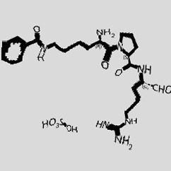 N=C(N)NCCC[C@@H](C=O)NC(=O)[C@@H]1CCCN1C(=O)[C@H](N)CCCCNC(=O)c1ccccc1.O=S(=O)(O)O